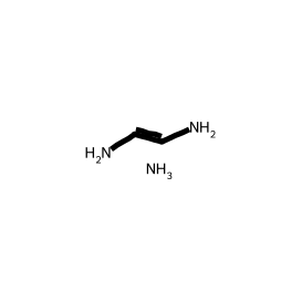 N.N/C=C/N